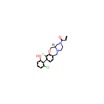 C=CC(=O)N1CCN2Cc3ccc(-c4c(O)cccc4Cl)c(F)c3OC[C@H]2C1